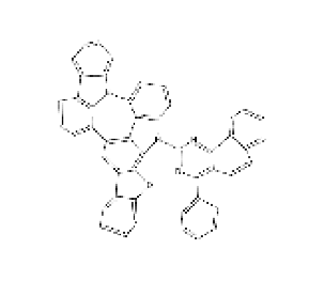 c1ccc(-c2nc(-n3c4cccc5c4c4c(cc6c7ccccc7oc6c43)c3cccc4c6ccccc6n5c34)nc3c2ccc2ccccc23)cc1